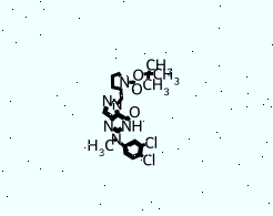 CN(c1ccc(Cl)c(Cl)c1)c1nc2cnn(CC3CCCN3C(=O)OC(C)(C)C)c2c(=O)[nH]1